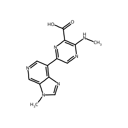 CNc1ncc(-c2cncc3c2ncn3C)nc1C(=O)O